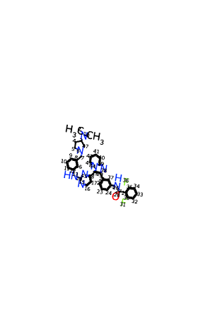 CN(C)C1CCN(Cc2cccc(Nc3nccc(-c4c(-c5cccc(NC(=O)c6c(F)cccc6F)c5)nc5ccccn45)n3)c2)C1